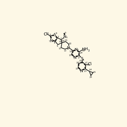 C=N[C@@H]1c2sc(Cl)nc2CC12CCN(c1cnc(Sc3ccnc(C4CC4)c3Cl)c(N)n1)CC2